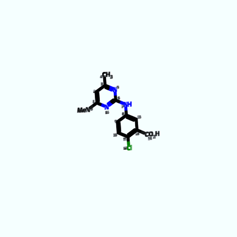 CNc1cc(C)nc(Nc2ccc(Cl)c(C(=O)O)c2)n1